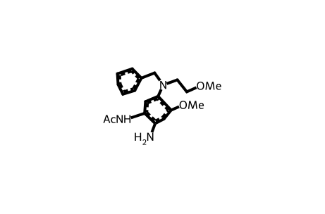 COCCN(Cc1ccccc1)c1cc(NC(C)=O)c(N)cc1OC